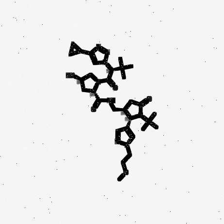 COCCn1cc([C@@H]2[C@@H](CNC(=O)[C@@H]3C[C@@H](O)CN3C(=O)[C@@H](n3cc(C4CC4)nn3)C(C)(C)C)CC(=O)N2C(C)(C)C)cn1